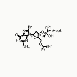 CCCCCCCC(CCC)P(=O)(O)O[C@@H]1C[C@H](n2c(Br)nc3c(=O)[nH]c(N)nc32)OC1COC(CC)CCC